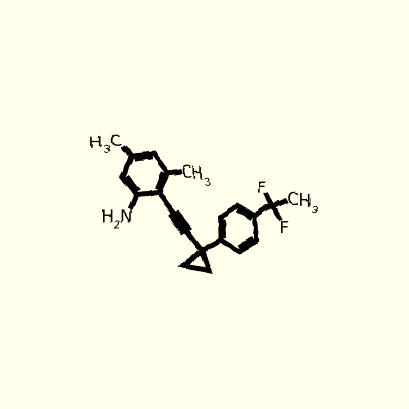 Cc1cc(C)c(C#CC2(c3ccc(C(C)(F)F)cc3)CC2)c(N)c1